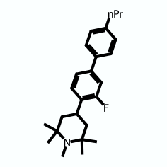 CCCc1ccc(-c2ccc(C3CC(C)(C)N(C)C(C)(C)C3)c(F)c2)cc1